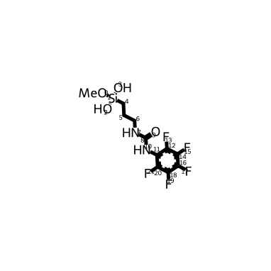 CO[Si](O)(O)CCCNC(=O)Nc1c(F)c(F)c(F)c(F)c1F